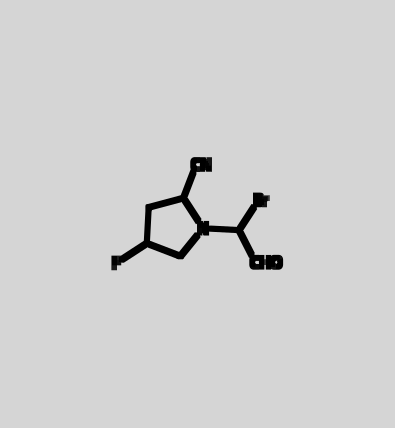 N#CC1CC(F)CN1C(Br)C=O